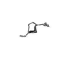 CNC1=C=C(C(C)(C)C)CC1